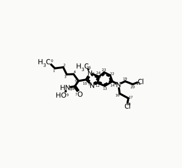 CCCCCC(C(=O)NO)c1nc2cc(N(CCCl)CCCl)ccc2n1C